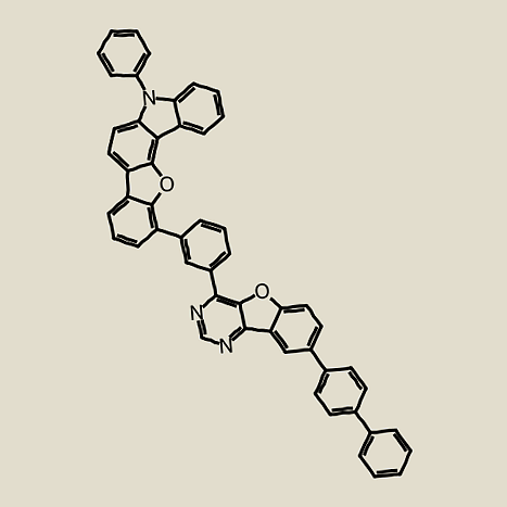 c1ccc(-c2ccc(-c3ccc4oc5c(-c6cccc(-c7cccc8c7oc7c8ccc8c7c7ccccc7n8-c7ccccc7)c6)ncnc5c4c3)cc2)cc1